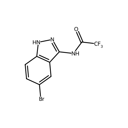 O=C(Nc1n[nH]c2ccc(Br)cc12)C(F)(F)F